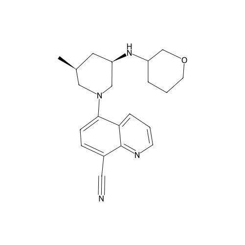 C[C@H]1C[C@@H](NC2CCCOC2)CN(c2ccc(C#N)c3ncccc23)C1